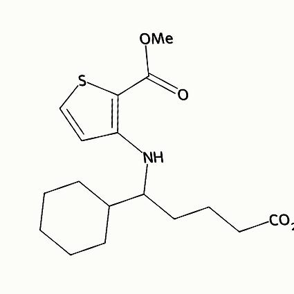 COC(=O)c1sccc1NC(CCCC(=O)O)C1CCCCC1